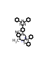 C=C1/C=C2/Sc3ccccc3N(c3ccccc3)/C2=C/CN(c2ccc(-c3nc(-c4ccccc4)nc(-c4ccccc4)n3)cc2C#N)c2ccccc21